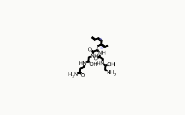 C=C/C=C\C(=C/C)C[C@H](NC(=O)CNC(O)CN)C(=O)NCC(O)NCCC(N)=O